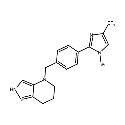 CC(C)n1cc(C(F)(F)F)nc1-c1ccc(CN2CCCc3n[nH]cc32)cc1